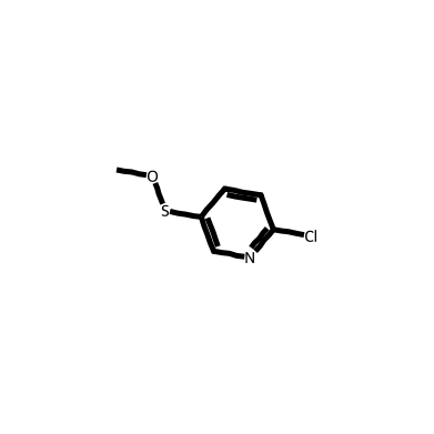 COSc1ccc(Cl)nc1